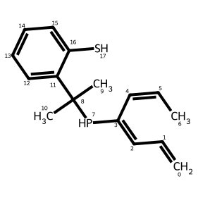 C=C/C=C(\C=C/C)PC(C)(C)c1ccccc1S